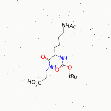 CC(=O)NCCCC[C@H](NC(=O)OC(C)(C)C)C(=O)NCCC(=O)O